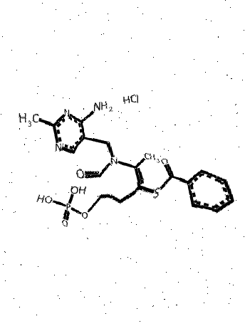 CC(=C(CCOP(=O)(O)O)SC(=O)c1ccccc1)N(C=O)Cc1cnc(C)nc1N.Cl